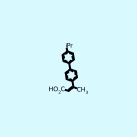 C/C(=C/C(=O)O)c1ccc(-c2ccc(C(C)C)cc2)cc1